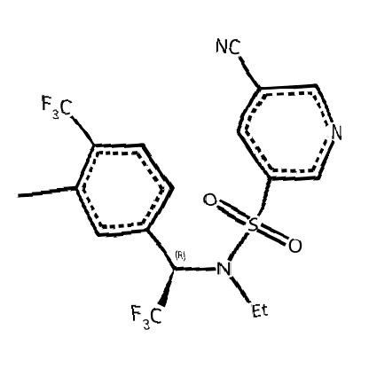 CCN([C@H](c1ccc(C(F)(F)F)c(C)c1)C(F)(F)F)S(=O)(=O)c1cncc(C#N)c1